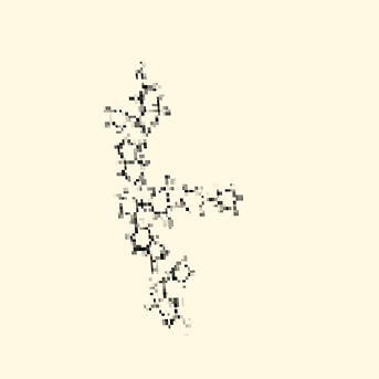 COC(=O)N[C@H](C(=O)N1CCC[C@H]1c1nc2cc([C@H]3CC[C@H](c4ccc5[nH]c([C@@H]6CCCN6C(=O)[C@@H](NC(=O)OC)C(C)(C)C)nc5c4)N3c3cc(F)c(N4CCC(c5ccccc5)CC4)c(F)c3)ccc2[nH]1)C(C)(C)C